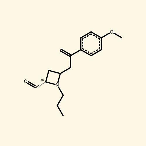 C=C(CC1C[C@@H](C=O)N1CCC)c1ccc(OC)cc1